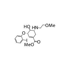 COCCN[C@@H]1CC(C(=O)OC)=C[C@H](Oc2ccccc2I)[C@H]1O